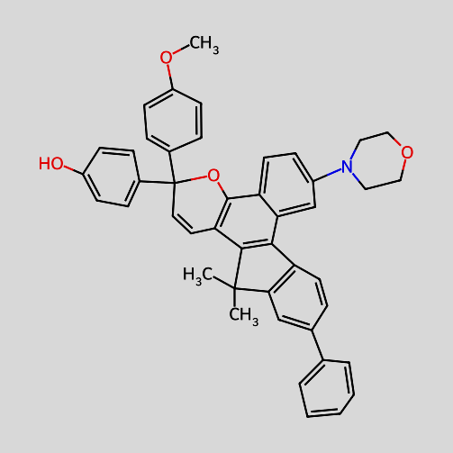 COc1ccc(C2(c3ccc(O)cc3)C=Cc3c4c(c5cc(N6CCOCC6)ccc5c3O2)-c2ccc(-c3ccccc3)cc2C4(C)C)cc1